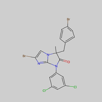 CC1(Cc2ccc(Br)cc2)C(=O)N(c2cc(Cl)cc(Cl)c2)c2nc(Br)cn21